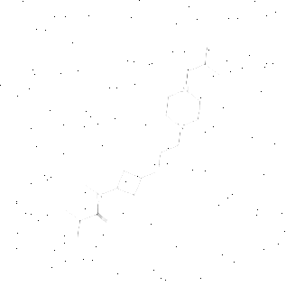 CC(C)CN1CCN(CCOC2CC(N(C)C(=O)C(C)C)C2)CC1